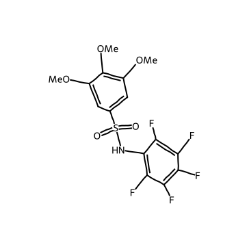 COc1cc(S(=O)(=O)Nc2c(F)c(F)c(F)c(F)c2F)cc(OC)c1OC